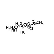 CCOC(=O)CCN(c1ccccc1)S(=O)(=O)c1ccc2c(c1)nc(CNc1ccc(C(=N)N)cc1)n2C.Cl